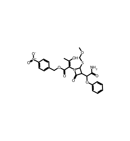 COCSC1C(C(Oc2ccccc2)C(N)=O)C(=O)N1C(C(=O)OCc1ccc([N+](=O)[O-])cc1)=C(C)O